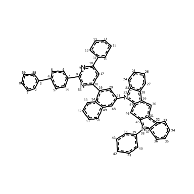 c1ccc(-c2ccc(-c3nc(-c4ccccc4)cc(-c4cc(-n5c6ccccc6c6cc7c8ccccc8n(-c8ccccc8)c7cc65)cc5ccccc45)n3)cc2)cc1